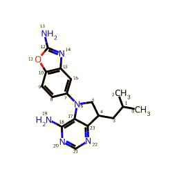 CC(C)CC1CN(c2ccc3oc(N)nc3c2)c2c(N)ncnc21